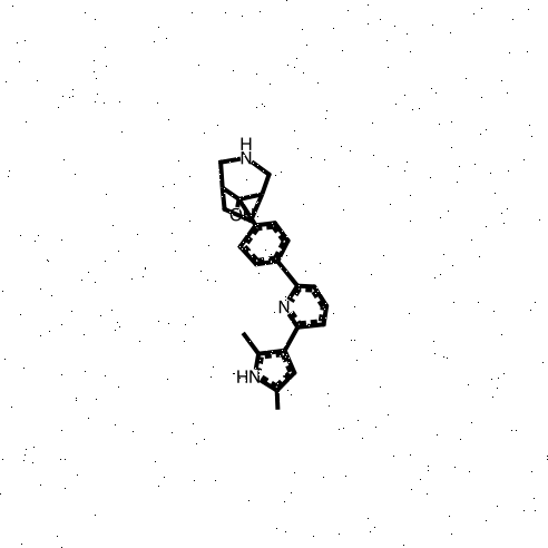 Cc1cc(-c2cccc(-c3ccc(C4(O)C5CCC4CNC5)cc3)n2)c(C)[nH]1